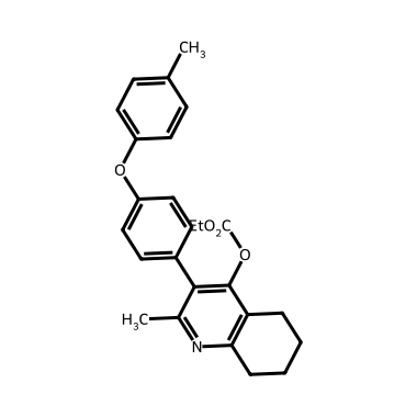 CCOC(=O)Oc1c2c(nc(C)c1-c1ccc(Oc3ccc(C)cc3)cc1)CCCC2